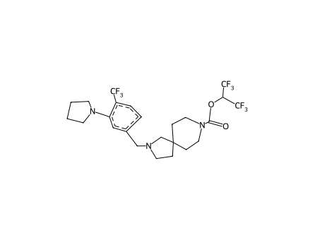 O=C(OC(C(F)(F)F)C(F)(F)F)N1CCC2(CCN(Cc3ccc(C(F)(F)F)c(N4CCCC4)c3)C2)CC1